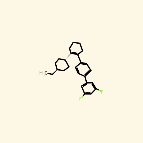 CC[C@H]1CC[C@H](C2=C(c3ccc(-c4cc(F)cc(F)c4)cc3)CCCC2)CC1